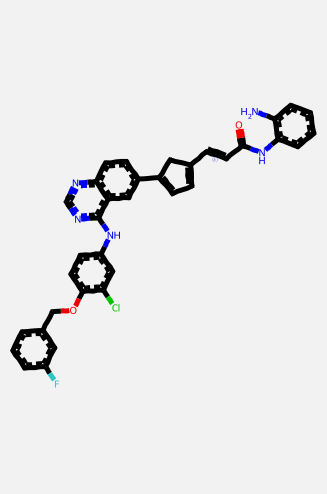 Nc1ccccc1NC(=O)/C=C/C1=CC=C(c2ccc3ncnc(Nc4ccc(OCc5cccc(F)c5)c(Cl)c4)c3c2)C1